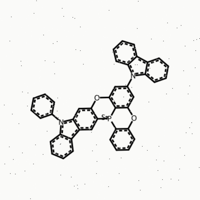 S=P12c3ccccc3Oc3cc(-n4c5ccccc5c5ccccc54)cc(c31)Oc1cc3c(cc12)c1ccccc1n3-c1ccccc1